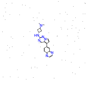 CN(C)[C@H]1C[C@H](Nc2ncc3c(-c4ccc5nccnc5c4)ccn3n2)C1